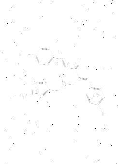 CCCCCn1cc(CN2CC(=Cc3ccc(C(C)C)cc3)C(=O)C(=Cc3ccc(C(C)C)cc3)C2)nn1